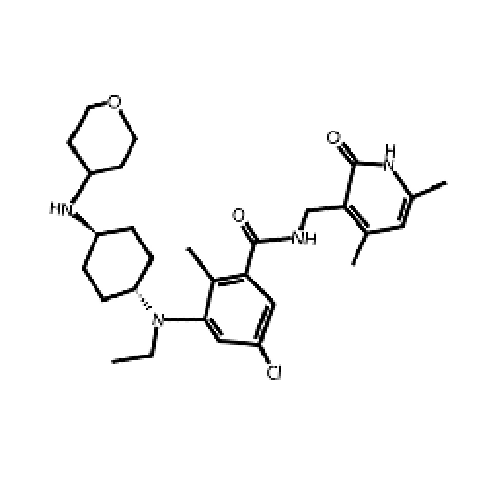 CCN(c1cc(Cl)cc(C(=O)NCc2c(C)cc(C)[nH]c2=O)c1C)[C@H]1CC[C@H](NC2CCOCC2)CC1